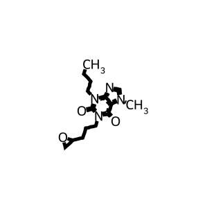 CCCCn1c(=O)n(CCCC2CO2)c(=O)c2c1ncn2C